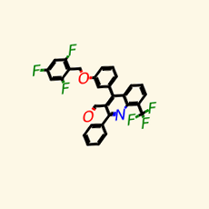 O=Cc1c(-c2ccccc2)nc2c(C(F)(F)F)cccc2c1-c1cccc(OCc2c(F)cc(F)cc2F)c1